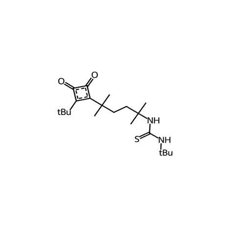 CC(C)(C)NC(=S)NC(C)(C)CCC(C)(C)c1c(C(C)(C)C)c(=O)c1=O